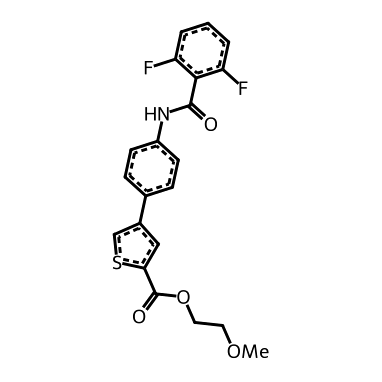 COCCOC(=O)c1cc(-c2ccc(NC(=O)c3c(F)cccc3F)cc2)cs1